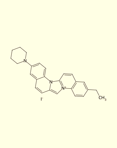 CCc1ccc2c(ccc3n4c(ccc5cc(N6CCCCC6)ccc54)c[n+]23)c1.[I-]